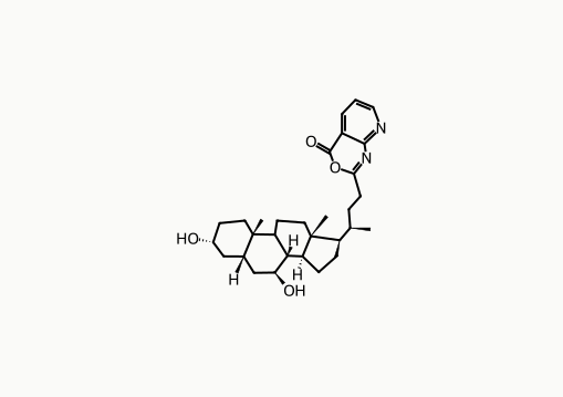 C[C@H](CCc1nc2ncccc2c(=O)o1)[C@H]1CC[C@H]2[C@H]3C(CC[C@]12C)[C@@]1(C)CC[C@@H](O)C[C@H]1C[C@@H]3O